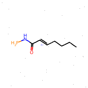 CCCC/C=C/C(=O)NP